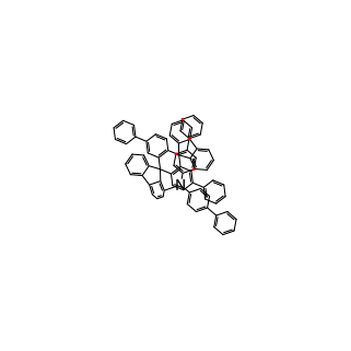 c1ccc(-c2ccc(N(c3ccc(-c4ccccc4)cc3)c3cccc4c3C3(c5ccccc5-4)c4ccc(-c5ccccc5)cc4C4(c5ccccc5-c5ccccc54)c4ccc(-c5ccccc5)cc43)cc2)cc1